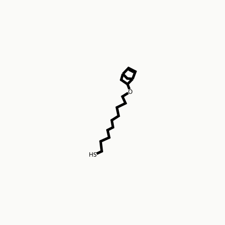 SCCCCCCCCCCOC1CC2C=CC1C2